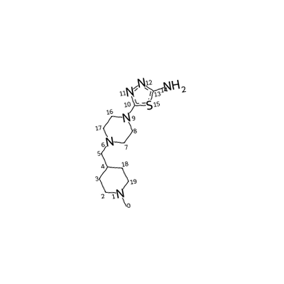 CN1CCC(CN2CCN(c3nnc(N)s3)CC2)CC1